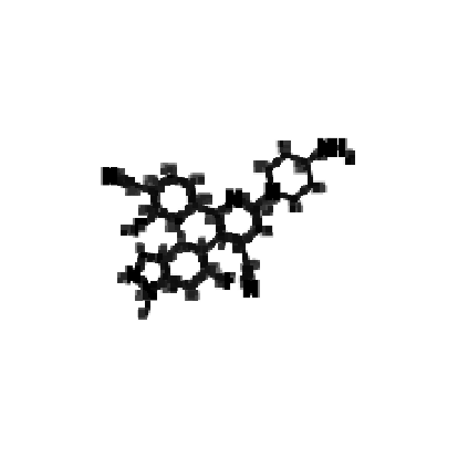 Cn1ncc2cc(-c3c(C#N)cc(N4CCC(N)CC4)nc3-c3ccc(C#N)c(F)c3)c(F)cc21